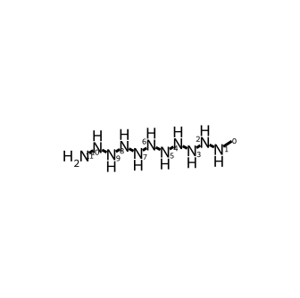 CNNNNNNNNNNN